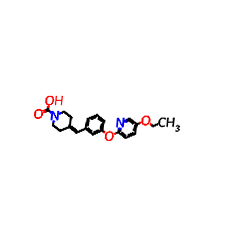 CCOc1ccc(Oc2cccc(C=C3CCN(C(=O)O)CC3)c2)nc1